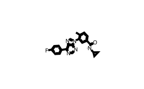 Cc1ccc(C(=O)[N]C2CC2)cc1-n1cnc2c(-c3ccc(F)cc3)ncnc21